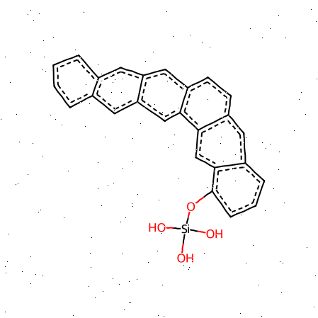 O[Si](O)(O)Oc1cccc2cc3ccc4cc5cc6ccccc6cc5cc4c3cc12